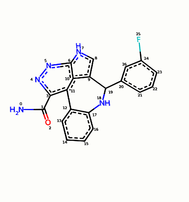 NC(=O)c1nnc2[nH]cc3c2c1-c1ccccc1NC3c1cccc(F)c1